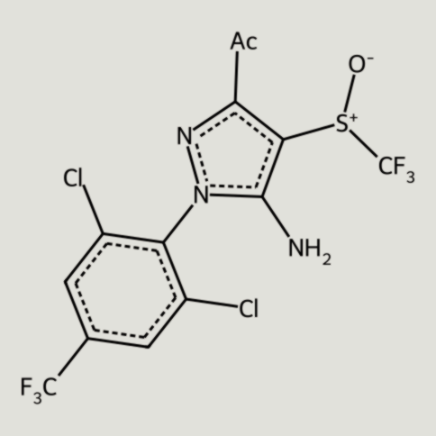 CC(=O)c1nn(-c2c(Cl)cc(C(F)(F)F)cc2Cl)c(N)c1[S+]([O-])C(F)(F)F